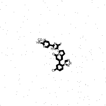 O=C(O)Nc1ccc(-c2nc(F)c([C@@H]3CCc4cc(-c5cc(Cl)ccc5-n5cnnn5)cc(=O)n43)[nH]2)cn1